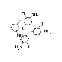 Nc1ccc(Cc2ccc(N)c(Cl)c2)cc1Cl.Nc1cccc(Cc2cccc(N)c2Cl)c1Cl